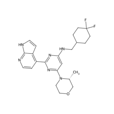 C[C@@H]1COCCN1c1cc(NCC2CCC(F)(F)CC2)nc(-c2ccnc3[nH]ccc23)n1